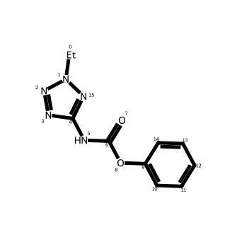 CCn1nnc(NC(=O)Oc2ccccc2)n1